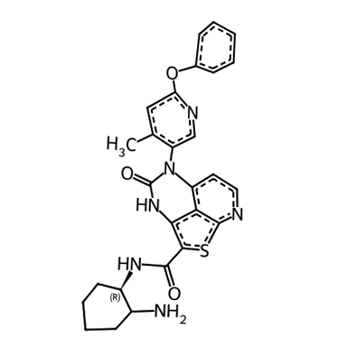 Cc1cc(Oc2ccccc2)ncc1N1C(=O)Nc2c(C(=O)N[C@@H]3CCCCC3N)sc3nccc1c23